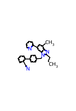 CCCc1nc2c(C)cc(-c3ccccn3)cc2n1Cc1ccc(-c2ccccc2C#N)cc1